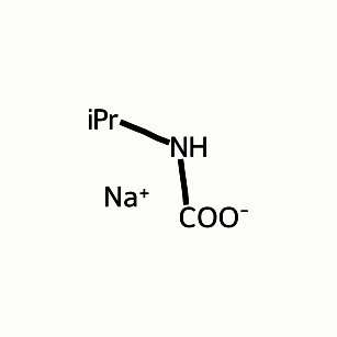 CC(C)NC(=O)[O-].[Na+]